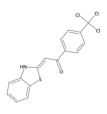 O=C(C=C1Nc2ccccc2S1)c1ccc(C(Cl)(Cl)Cl)cc1